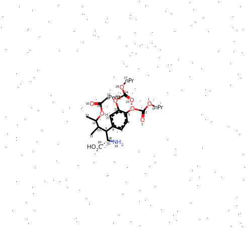 CCCOC(=O)Oc1ccc(C(C(C)C(C)OC(=O)C(C)CCC)[C@H](N)C(=O)O)cc1OC(=O)OCCC